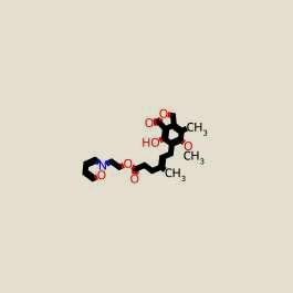 COc1c(C)c2c(c(O)c1C/C=C(\C)CCC(=O)OCCN1C=CC=CO1)C(=O)OC2